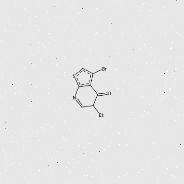 CCC1C=Nc2scc(Br)c2C1=O